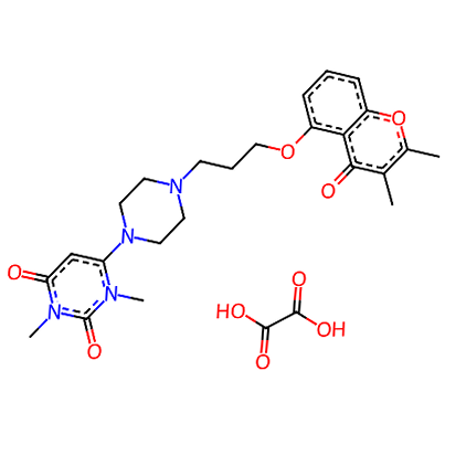 Cc1oc2cccc(OCCCN3CCN(c4cc(=O)n(C)c(=O)n4C)CC3)c2c(=O)c1C.O=C(O)C(=O)O